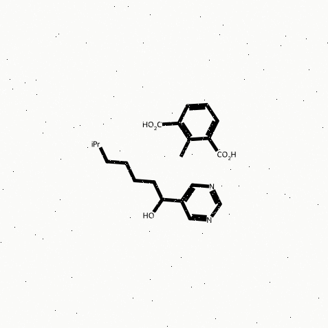 CC(C)CCCCC(O)c1cncnc1.Cc1c(C(=O)O)cccc1C(=O)O